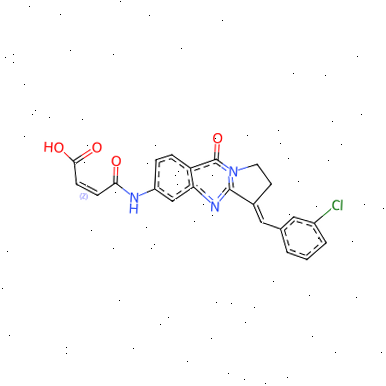 O=C(O)/C=C\C(=O)Nc1ccc2c(=O)n3c(nc2c1)C(=Cc1cccc(Cl)c1)CC3